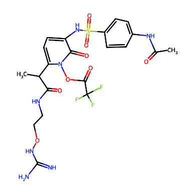 CC(=O)Nc1ccc(S(=O)(=O)Nc2ccc(C(C)C(=O)NCCONC(=N)N)n(OC(=O)C(F)(F)F)c2=O)cc1